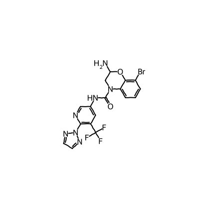 NC1CN(C(=O)Nc2cnc(-n3nccn3)c(C(F)(F)F)c2)c2cccc(Br)c2O1